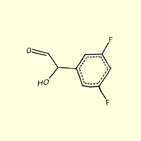 O=CC(O)c1cc(F)cc(F)c1